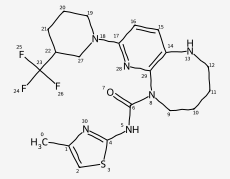 Cc1csc(NC(=O)N2CCCCNc3ccc(N4CCCC(C(F)(F)F)C4)nc32)n1